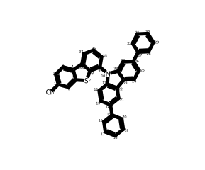 Clc1ccc2c(c1)sc1c(-n3c4ccc(-c5ccccc5)cc4c4ccc(-c5ccccc5)cc43)cccc12